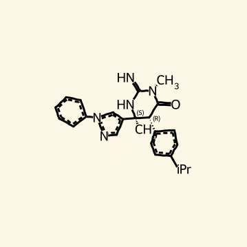 CC(C)c1ccc([C@H]2C(=O)N(C)C(=N)N[C@]2(C)c2cnn(-c3ccccc3)c2)cc1